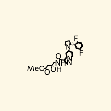 COC(=O)CC(O)CNC(=O)c1cnn2ccc(N3CCC[C@@H]3c3cc(F)ccc3F)cc12